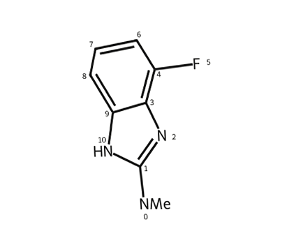 CNc1nc2c(F)cccc2[nH]1